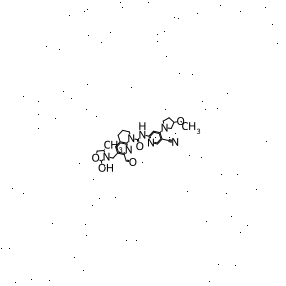 CO[C@@H]1CCN(c2cc(NC(=O)N3CCCc4cc(CN5C(O)OC[C@@H]5C)c(C=O)nc43)ncc2C#N)C1